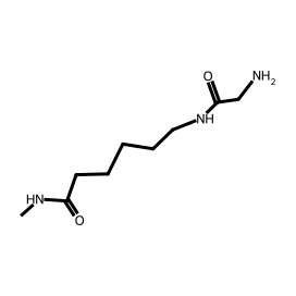 CNC(=O)CCCCCNC(=O)CN